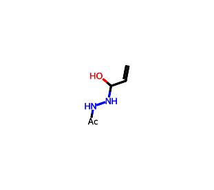 C=CC(O)NNC(C)=O